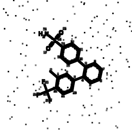 Cc1cc(-c2ccccc2-c2ccc(S(N)(=O)=O)cc2)ccc1C(F)(F)F